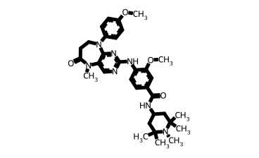 COc1ccc(N2CCC(=O)N(C)c3cnc(Nc4ccc(C(=O)NC5CC(C)(C)N(C)C(C)(C)C5)cc4OC)nc32)cc1